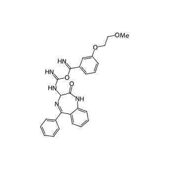 COCCOc1cccc(C(=N)OC(=N)NC2N=C(c3ccccc3)c3ccccc3NC2=O)c1